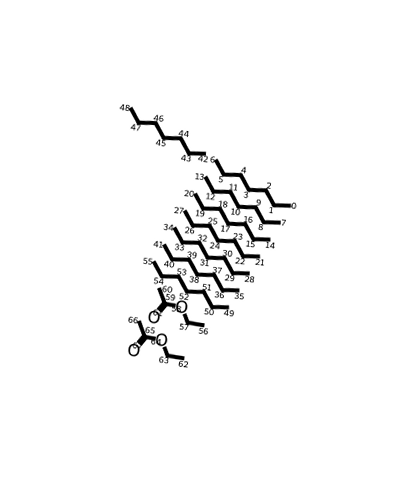 CCCCCCC.CCCCCCC.CCCCCCC.CCCCCCC.CCCCCCC.CCCCCCC.CCCCCCC.CCCCCCC.CCOC(C)=O.CCOC(C)=O